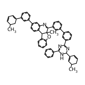 CC1C=C(C2N=C(c3cccc(-c4cccc(C5=Nc6cc(-c7cccc(C8=CC=CC(C)C8)c7)ccc6C6c7ccccc7OC56C)c4)c3)N=C(c3ccccc3)N2)C=CC1